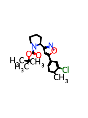 CC1CC=C(c2cc(C3CCCCN3C(=O)OC(C)(C)C)no2)C=C1Cl